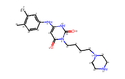 CCc1cc(Nc2cc(=O)n(CCCCN3CCNCC3)c(=O)[nH]2)ccc1C